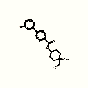 COC1(CO)CCC(NC(=O)c2ccc(-c3cccc(F)c3)nc2)CC1